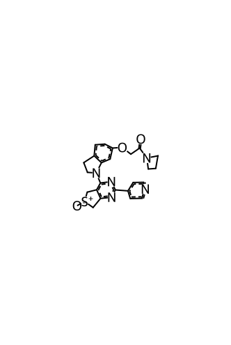 O=C(COc1ccc2c(c1)N(c1nc(-c3ccncc3)nc3c1C[S+]([O-])C3)CC2)N1CCC1